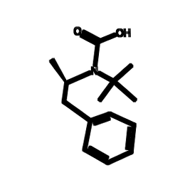 C[C@H](Cc1ccccc1)N(C(=O)O)C(C)(C)C